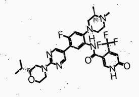 CC(C)[C@@H]1CN(c2ncc(-c3cc(NC(=O)c4c[nH]c(=O)cc4C(F)(F)F)c(N4CCN(C)[C@H](C)C4)cc3F)cn2)CCO1